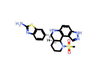 CS(=O)(=O)N1CCC[C@@H]2C1c1c(ccc3[nH]ncc13)N[C@H]2c1ccc2nc(N)sc2c1